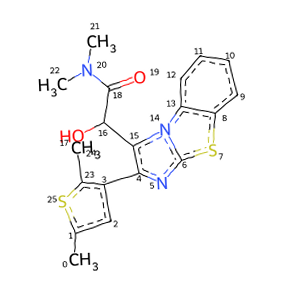 Cc1cc(-c2nc3sc4ccccc4n3c2C(O)C(=O)N(C)C)c(C)s1